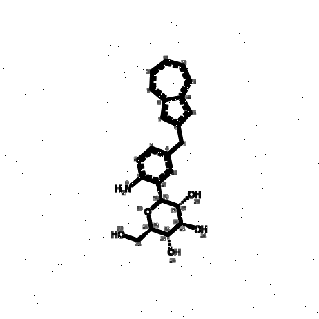 Nc1ccc(Cc2cc3cccccc-3c2)cc1[C@@H]1O[C@H](CO)[C@@H](O)[C@H](O)[C@H]1O